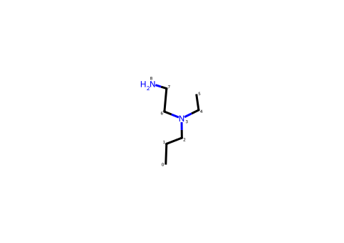 CCCN(CC)CCN